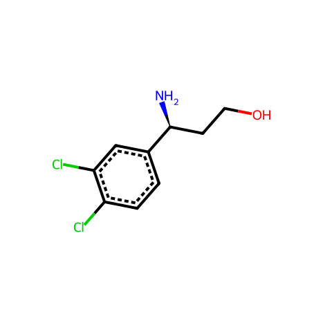 N[C@@H](CCO)c1ccc(Cl)c(Cl)c1